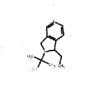 CCC1c2ccncc2CN1C(C)(C)C